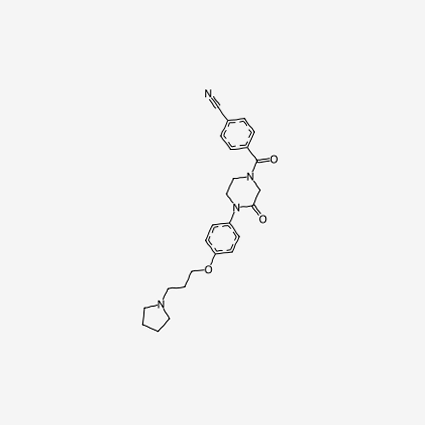 N#Cc1ccc(C(=O)N2CCN(c3ccc(OCCCN4CCCC4)cc3)C(=O)C2)cc1